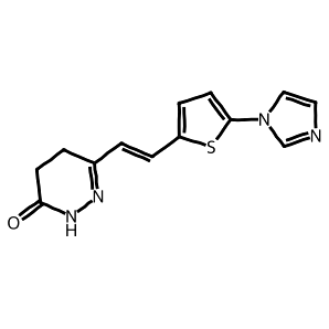 O=C1CCC(/C=C/c2ccc(-n3ccnc3)s2)=NN1